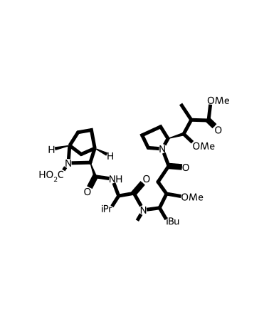 CCC(C)C(C(CC(=O)N1CCC[C@H]1C(OC)C(C)C(=O)OC)OC)N(C)C(=O)C(NC(=O)[C@@H]1[C@H]2CC[C@H](C2)N1C(=O)O)C(C)C